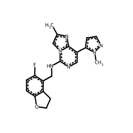 Cc1cn2c(NCc3c(F)ccc4c3CCO4)ncc(-c3ccnn3C)c2n1